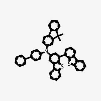 CC1(C)c2ccccc2-c2ccc(N(c3ccc(-c4ccccc4)cc3)c3cc(-c4cccc5c4sc4ccccc45)c4sc5ccccc5c4c3)cc21